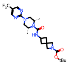 C[C@@H]1CN(c2ncc(C(F)(F)F)cn2)C[C@H](C)N1C(=O)NC1CC2(C1)CN(C(=O)OC(C)(C)C)C2